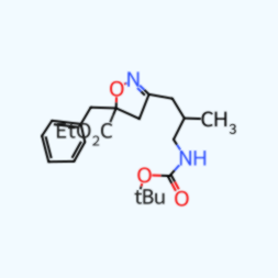 CCOC(=O)C1(Cc2ccccc2)CC(CC(C)CNC(=O)OC(C)(C)C)=NO1